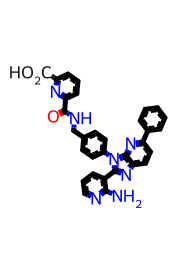 Nc1ncccc1-c1nc2ccc(-c3ccccc3)nc2n1-c1ccc(CNC(=O)c2cccc(C(=O)O)n2)cc1